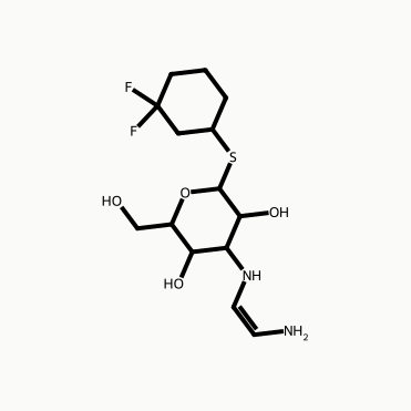 N/C=C\NC1C(O)C(CO)OC(SC2CCCC(F)(F)C2)C1O